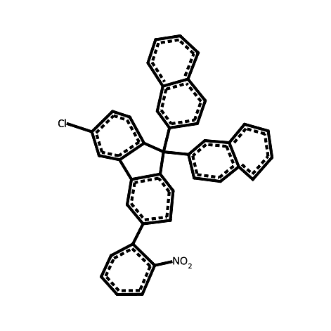 O=[N+]([O-])c1ccccc1-c1ccc2c(c1)-c1cc(Cl)ccc1C2(c1ccc2ccccc2c1)c1ccc2ccccc2c1